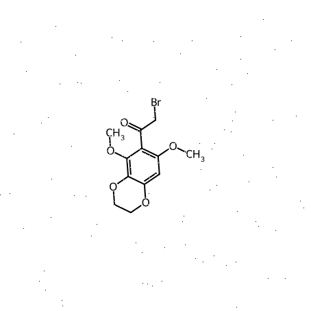 COc1cc2c(c(OC)c1C(=O)CBr)OCCO2